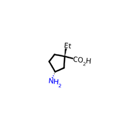 CC[C@]1(C(=O)O)CC[C@@H](N)C1